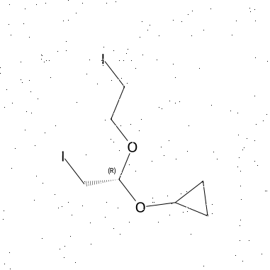 ICCO[C@@H](CI)OC1CC1